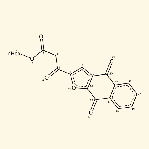 CCCCCCOC(=O)CC(=O)c1cc2c(o1)C(=O)c1ccccc1C2=O